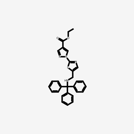 CCOC(=O)c1cnn(-c2ncc(CNC(c3ccccc3)(c3ccccc3)c3ccccc3)s2)c1